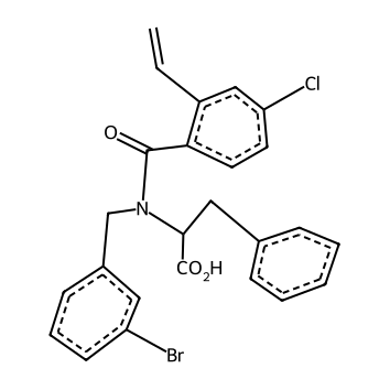 C=Cc1cc(Cl)ccc1C(=O)N(Cc1cccc(Br)c1)C(Cc1ccccc1)C(=O)O